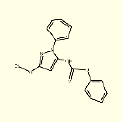 CCOc1cc(NC(=O)Oc2ccccc2)n(-c2ccccc2)n1